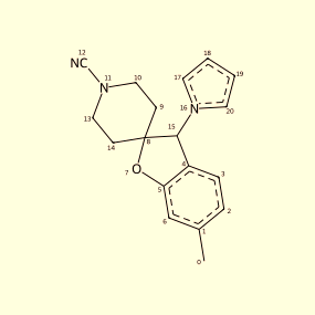 Cc1ccc2c(c1)OC1(CCN(C#N)CC1)C2n1cccc1